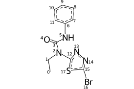 CCN(C(=O)Nc1ccccc1)c1nnc(Br)s1